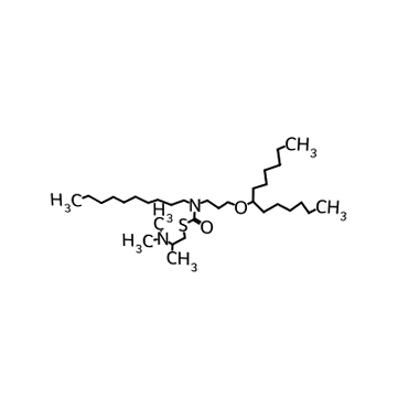 CCCCCCCCCCN(CCCOC(CCCCCC)CCCCCC)C(=O)SCC(C)N(C)C